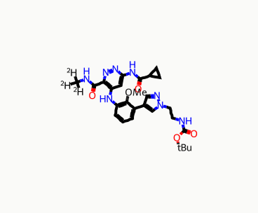 [2H]C([2H])([2H])NC(=O)c1nnc(NC(=O)C2CC2)cc1Nc1cccc(-c2cnn(CCNC(=O)OC(C)(C)C)c2)c1OC